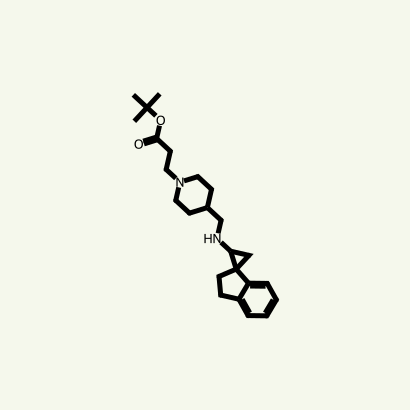 CC(C)(C)OC(=O)CCN1CCC(CNC2CC23CCc2ccccc23)CC1